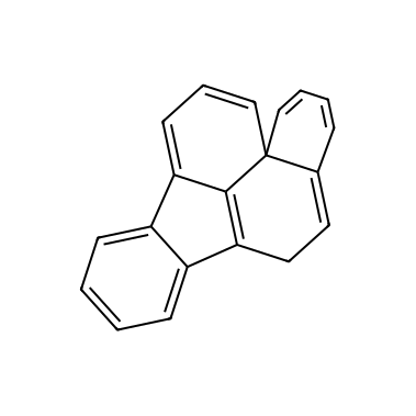 C1=CC2=CCC3=C4C(=CC=CC24C=C1)c1ccccc13